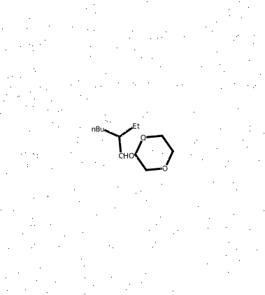 C1COCCO1.CCCCC(C=O)CC